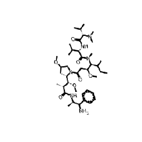 CCC(C)[C@@H]([C@H](CC(=O)N1CC(OC)C[C@H]1[C@H](OC)[C@@H](C)C(=O)N[C@H](C)C(N)c1ccccc1)OC)N(C)C(=O)[C@@H](NC(=O)[C@H](C(C)C)N(C)C)C(C)C